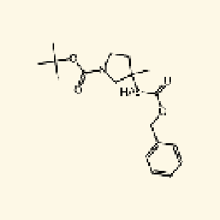 CC(C)(C)OC(=O)N1CCC(C)([AsH]C(=O)OCc2ccccc2)C1